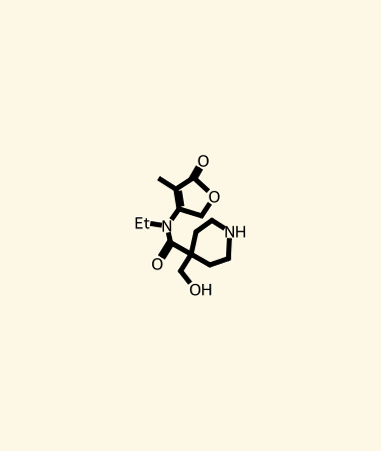 CCN(C(=O)C1(CO)CCNCC1)C1=C(C)C(=O)OC1